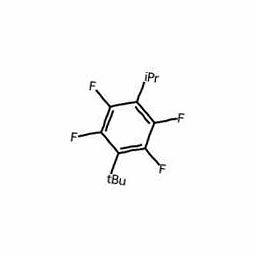 CC(C)c1c(F)c(F)c(C(C)(C)C)c(F)c1F